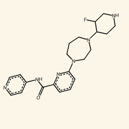 O=C(Nc1ccncc1)c1cccc(N2CCCN(C3CCNCC3F)CC2)n1